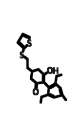 CCc1cc(C)cc(CC)c1C1=C(O)CC(CCSc2cccs2)CC1=O